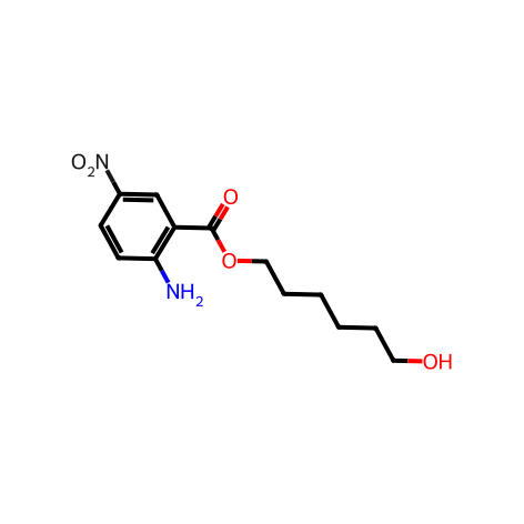 Nc1ccc([N+](=O)[O-])cc1C(=O)OCCCCCCO